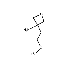 CC(C)(C)OCCC1(N)COC1